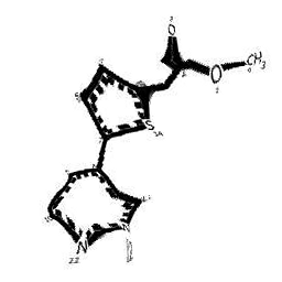 COC(=O)c1ccc(-c2ccnnc2)s1